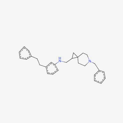 c1ccc(CCc2cccc(NCC3CC34CCN(Cc3ccccc3)CC4)c2)cc1